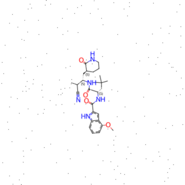 COc1cccc2[nH]c(C(=O)N[C@@H](CC(C)(C)C)C(=O)N[C@@H](C[C@@H]3CCCNC3=O)C(C)C#N)cc12